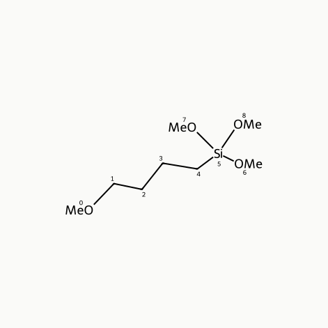 COCCCC[Si](OC)(OC)OC